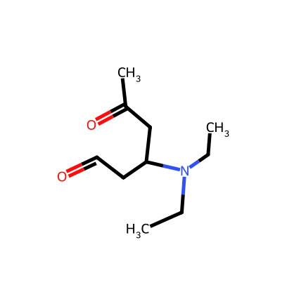 CCN(CC)C(CC=O)CC(C)=O